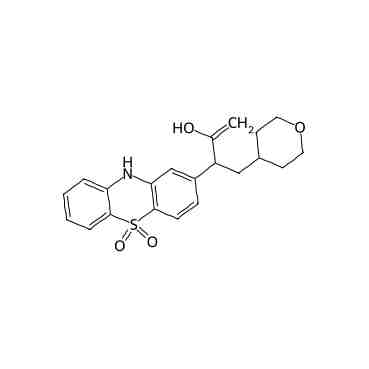 C=C(O)C(CC1CCOCC1)c1ccc2c(c1)Nc1ccccc1S2(=O)=O